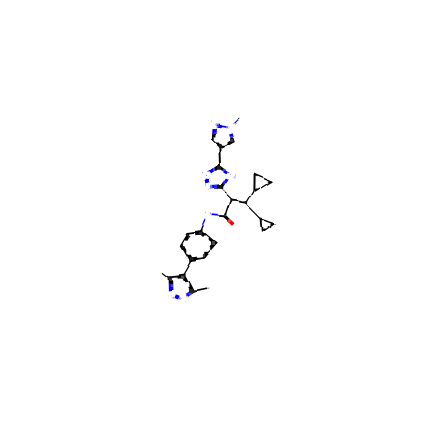 Cc1n[nH]c(C)c1-c1ccc(NC(=O)C(c2nnc(-c3cnn(C)c3)[nH]2)C(C2CC2)C2CC2)cc1